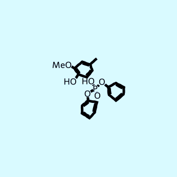 COc1cc(C)ccc1O.O=P(O)(Oc1ccccc1)Oc1ccccc1